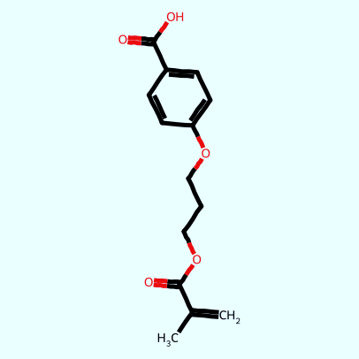 C=C(C)C(=O)OCCCOc1ccc(C(=O)O)cc1